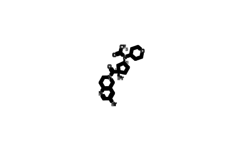 CC(C)[C@]1(C(=O)N2CCc3ncc(Br)cc3C2)CC[C@@H](N(C(=O)C(F)(F)F)C2CCOCC2)C1